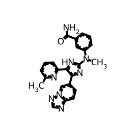 Cc1cccc(-c2[nH]c(N(C)c3cccc(C(N)=O)c3)nc2-c2ccc3ncnn3c2)n1